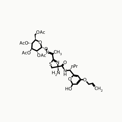 C=CCOC1=CC(O)OC([C@@H](CCC)NC(=O)[C@]2(N)CSC(/C(C)=N/O[C@H]3O[C@H](COC(C)=O)[C@@H](OC(C)=O)[C@H](OC(C)=O)[C@H]3OC(C)=O)=N2)=C1